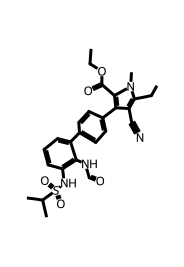 CCOC(=O)c1c(-c2ccc(-c3cccc(NS(=O)(=O)C(C)C)c3NC=O)cc2)c(C#N)c(CC)n1C